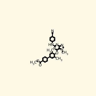 COC(=O)c1ccc(-c2cc(C)c(Oc3nc(Nc4ccc(C#N)cc4)nc4ncn(C)c34)c(C)c2)cc1